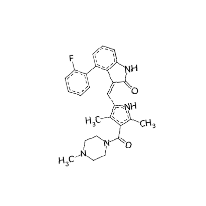 Cc1[nH]c(C=C2C(=O)Nc3cccc(-c4ccccc4F)c32)c(C)c1C(=O)N1CCN(C)CC1